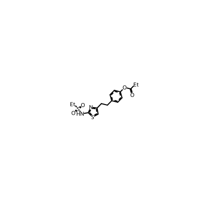 CCC(=O)Oc1ccc(CCc2csc(NS(=O)(=O)CC)n2)cc1